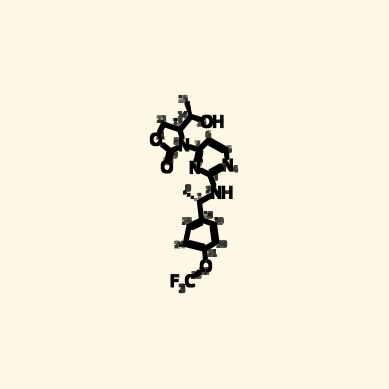 C[C@H](Nc1nccc(N2C(=O)OCC2[C@@H](C)O)n1)c1ccc(OC(F)(F)F)cc1